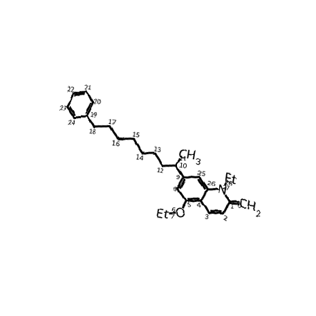 C=C1C=Cc2c(OCC)cc(C(C)CCCCCCCc3ccccc3)cc2N1CC